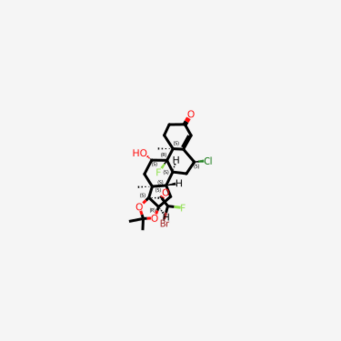 CC1(C)O[C@@H]2C[C@H]3[C@@H]4C[C@H](Cl)C5=CC(=O)CC[C@]5(C)[C@@]4(F)[C@@H](O)C[C@]3(C)[C@]2(C(=O)C(F)Br)O1